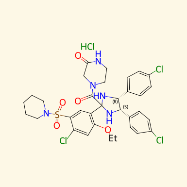 CCOc1cc(Cl)c(S(=O)(=O)N2CCCCC2)cc1C1(C(=O)N2CCNC(=O)C2)N[C@H](c2ccc(Cl)cc2)[C@H](c2ccc(Cl)cc2)N1.Cl